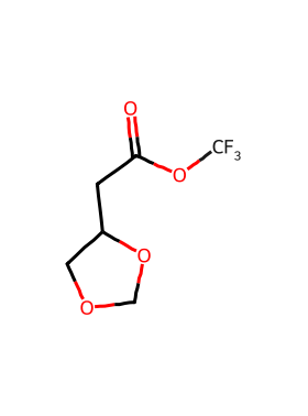 O=C(CC1COCO1)OC(F)(F)F